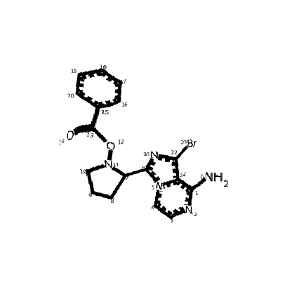 Nc1nccn2c(C3CCCN3OC(=O)c3ccccc3)nc(Br)c12